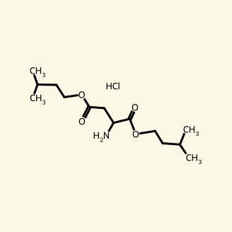 CC(C)CCOC(=O)CC(N)C(=O)OCCC(C)C.Cl